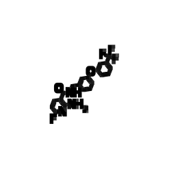 Nc1nc(F)ccc1C(=O)NCc1cccc(Oc2cccc(C(F)(F)F)c2)c1